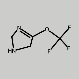 FC(F)(F)OC1=N[CH]NC1